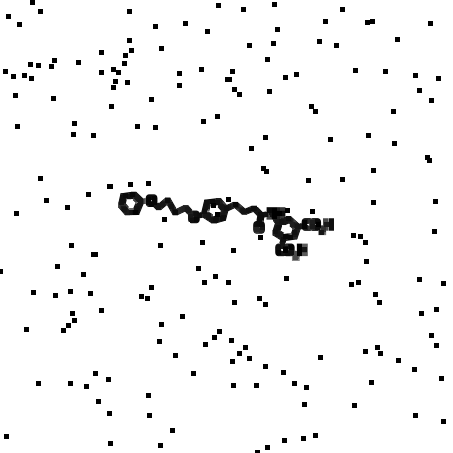 O=C(CCCc1ccc(OCCCCOc2ccccc2)cc1)Nc1cc(C(=O)O)cc(C(=O)O)c1